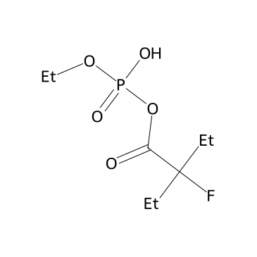 CCOP(=O)(O)OC(=O)C(F)(CC)CC